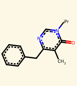 Cc1c(Cc2ccccc2)ncn(C(C)C)c1=O